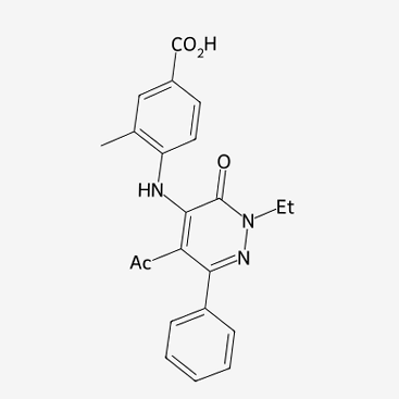 CCn1nc(-c2ccccc2)c(C(C)=O)c(Nc2ccc(C(=O)O)cc2C)c1=O